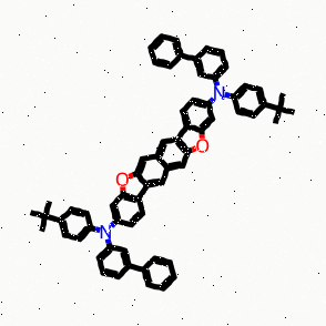 CC(C)(C)c1ccc(N(c2cccc(-c3ccccc3)c2)c2ccc3c(c2)oc2cc4cc5c(cc4cc23)oc2cc(N(c3ccc(C(C)(C)C)cc3)c3cccc(-c4ccccc4)c3)ccc25)cc1